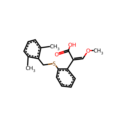 COC=C(C(=O)O)c1ccccc1SCc1c(C)cccc1C